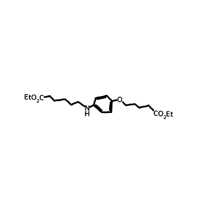 CCOC(=O)CCCCCNc1ccc(OCCCCC(=O)OCC)cc1